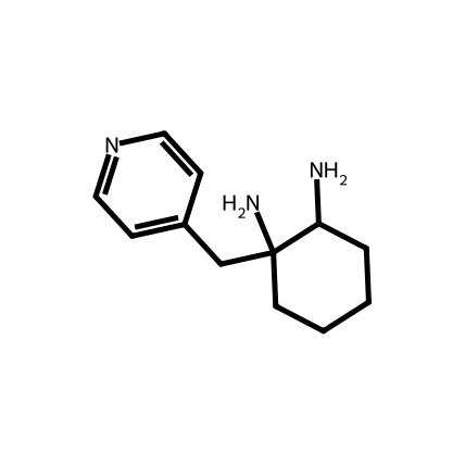 NC1CCCCC1(N)Cc1ccncc1